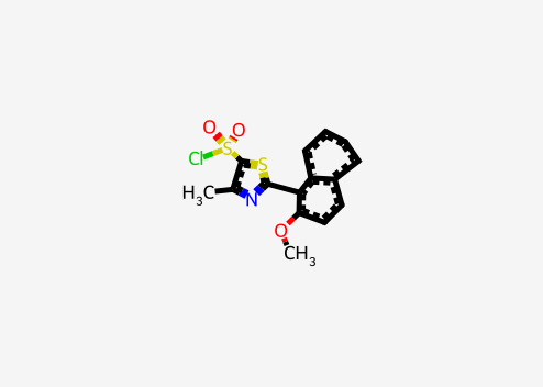 COc1ccc2ccccc2c1-c1nc(C)c(S(=O)(=O)Cl)s1